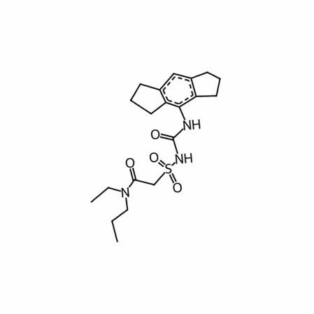 CCCN(CC)C(=O)CS(=O)(=O)NC(=O)Nc1c2c(cc3c1CCC3)CCC2